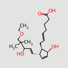 CCOCC(C)(C)C(O)C=C[C@H]1C=C[C@H](O)[C@@H]1C/C=C/CCCC(=O)O